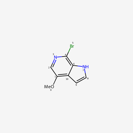 COc1cnc(Br)c2[nH]ccc12